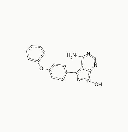 Nc1ncnc2c1c(-c1ccc(Oc3ccccc3)cc1)nn2O